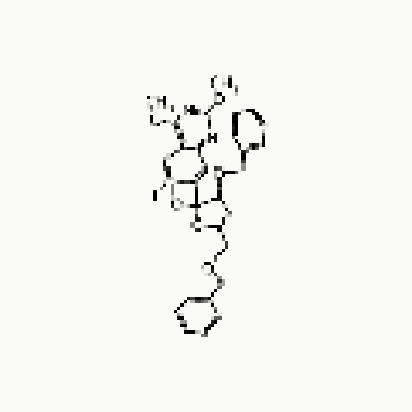 COc1nc(OC)c2cc(F)c(C3(O)OC(COCc4ccccc4)CC3OCc3ccccc3)cc2n1